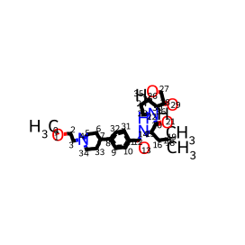 COCCN1CCC(c2ccc(C(=O)NC(CC(C)C)C(=O)N3CC[C@H]4OCC(=O)[C@H]43)cc2)CC1